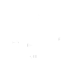 Fc1ccc2cc1-2.OBO